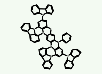 c1ccc(N2c3cc4c(cc3B3c5c2cc(-n2c6ccccc6c6ccccc62)cc5-n2c5ccccc5c5cccc3c52)B2c3c(cc(-n5c6ccccc6c6ccccc65)cc3-n3c5ccccc5c5cccc2c53)O4)cc1